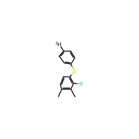 [2H]c1ccc(Sc2ccc(C)c(C)c2F)cc1